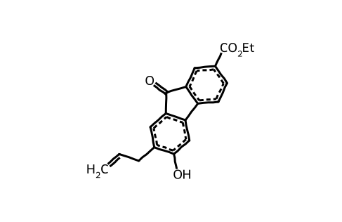 C=CCc1cc2c(cc1O)-c1ccc(C(=O)OCC)cc1C2=O